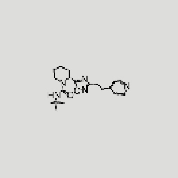 CC(C)(C)NC(=O)N1CCCC[C@H]1c1nc(CCc2ccncc2)no1